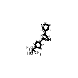 OC(c1ccc(-c2nc(-c3cccnc3)c[nH]2)cc1)(C(F)(F)F)C(F)(F)F